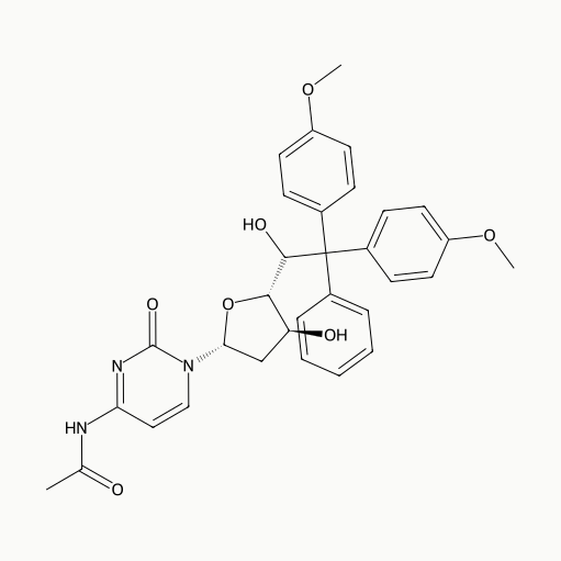 COc1ccc(C(c2ccccc2)(c2ccc(OC)cc2)C(O)[C@H]2O[C@@H](n3ccc(NC(C)=O)nc3=O)C[C@@H]2O)cc1